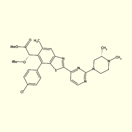 COC(=O)[C@@H](OC(C)(C)C)c1c(C)cc2nc(-c3ccnc(N4CCN(C)[C@@H](C)C4)n3)sc2c1-c1ccc(Cl)cc1